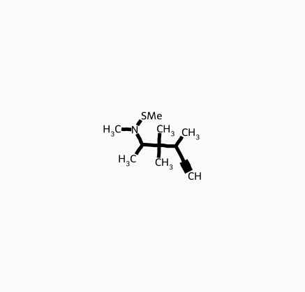 C#CC(C)C(C)(C)C(C)N(C)SC